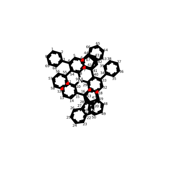 c1ccc(-c2cc3c(c(N(c4ccccc4-c4cccc5sc6ccccc6c45)c4c5c(cc(-c6ccccc6)c4-c4ccccc4)-c4ccccc4C5)c2-c2ccccc2)Cc2ccccc2-3)cc1